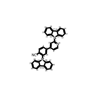 N#Cc1ccc(-c2ccnc(-n3c4ccccc4c4ccccc43)c2)cc1-n1c2ccccc2c2ccccc21